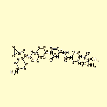 CC(C)(N)C(=O)N1CCN(C(=O)Nc2ccn(-c3ccc4c(c3)CCC(N(CC3CC3)C3CCC(N)CC3)C4)c(=O)n2)CC1